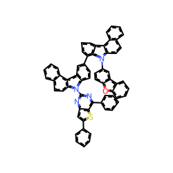 c1ccc(-c2cc3nc(-n4c5ccc(-c6cccc7c8c9ccccc9ccc8n(-c8ccc9oc%10ccccc%10c9c8)c67)cc5c5c6ccccc6ccc54)nc(-c4ccccc4)c3s2)cc1